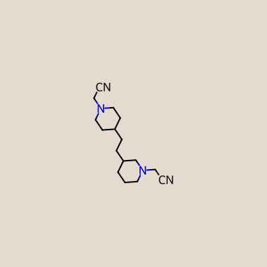 N#CCN1CCC(CCC2CCCN(CC#N)C2)CC1